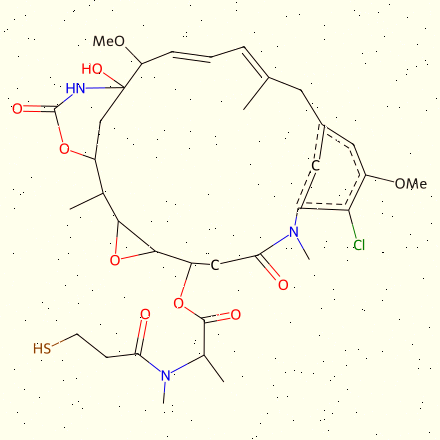 COc1cc2cc(c1Cl)N(C)C(=O)CC(OC(=O)C(C)N(C)C(=O)CCS)C1OC1C(C)C1CC(O)(NC(=O)O1)C(OC)/C=C/C=C(\C)C2